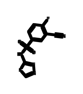 N#Cc1cc(S(=O)(=O)Nc2nncs2)ccc1F